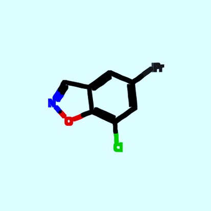 CC(C)c1cc(Cl)c2oncc2c1